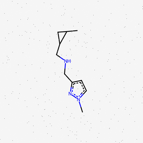 CC1CC1CNCc1ccn(C)n1